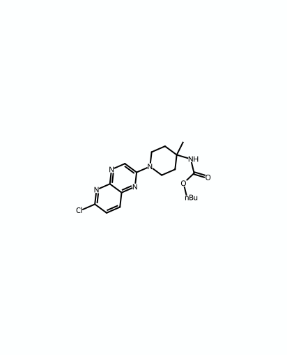 CCCCOC(=O)NC1(C)CCN(c2cnc3nc(Cl)ccc3n2)CC1